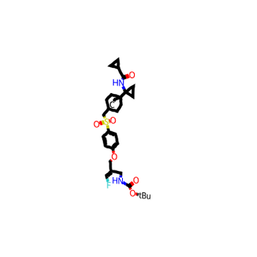 CC(C)(C)OC(=O)NC/C(=C\F)COc1ccc(S(=O)(=O)CC23CCC(C4(NC(=O)C5CC5)CC4)(CC2)CC3)cc1